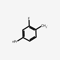 [CH2]c1ccc(CCC)cc1F